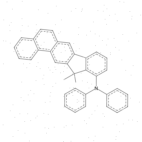 CC1(C)c2cc3c(ccc4ccccc43)cc2-c2cccc(N(c3ccccc3)c3ccccc3)c21